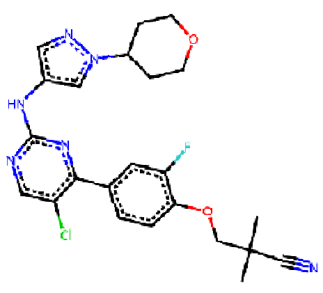 CC(C)(C#N)COc1ccc(-c2nc(Nc3cnn(C4CCOCC4)c3)ncc2Cl)cc1F